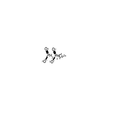 O=[PH2][O-].O=[PH2][O-].[Cu+2]